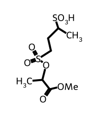 COC(=O)C(C)OS(=O)(=O)CCC(C)S(=O)(=O)O